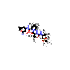 CC1CN(C(=O)[C@@H](NC(=O)N[C@H](CS(=O)(=O)C(C)(C)C)C(C)(C)C)C(C)(C)C)[C@H](C(=O)NC(CC2CC2)C(=O)C(N)=O)CC1(C)C